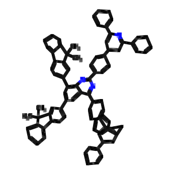 CC1(C)c2ccccc2-c2ccc(-c3cc(-c4ccc5c(c4)C(C)(C)c4ccccc4-5)c4nc(-c5ccc(-c6cc(-c7ccccc7)nc(-c7ccccc7)c6)cc5)nc(-c5ccc(C6=CC(c7ccccc7)=CC7(c8ccccc8)CC67)cc5)c4c3)cc21